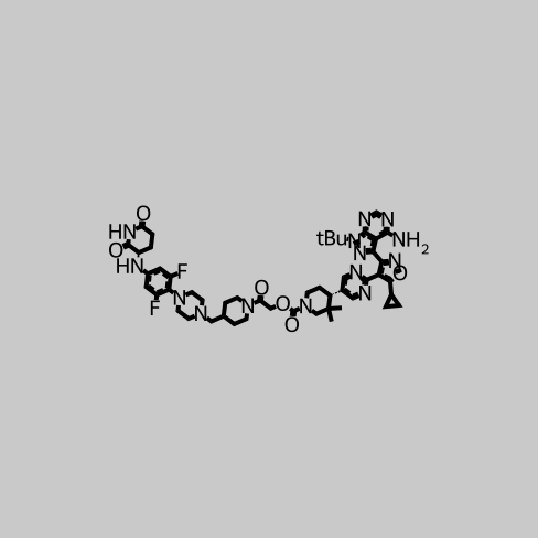 CC1(C)CN(C(=O)OCC(=O)N2CCC(CN3CCN(c4c(F)cc(N[C@H]5CCC(=O)NC5=O)cc4F)CC3)CC2)CC[C@@H]1c1cnc(-c2c(-c3nn(C(C)(C)C)c4ncnc(N)c34)noc2C2CC2)nc1